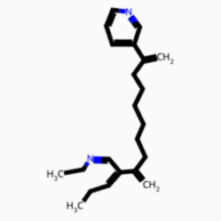 C=C(CCCCCCC(=C)c1cccnc1)C(/C=N\CC)=C/CC